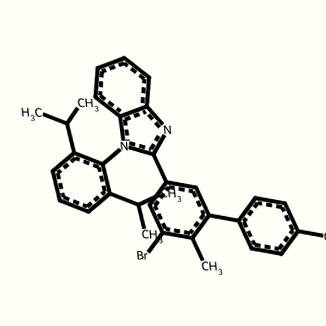 Cc1c(Br)cc(-c2nc3ccccc3n2-c2c(C(C)C)cccc2C(C)C)cc1-c1ccc(Cl)cc1